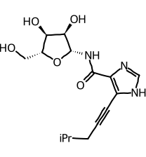 CC(C)CC#Cc1[nH]cnc1C(=O)N[C@@H]1O[C@H](CO)[C@@H](O)[C@H]1O